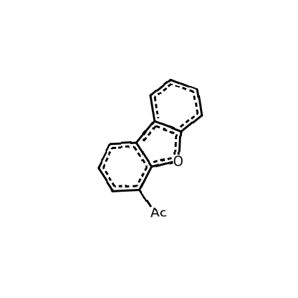 CC(=O)c1cccc2c1oc1ccccc12